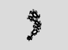 O=C(NC1CCC(c2ncon2)CC1)c1cnn2ccc(N3CCC[C@@H]3c3cc(F)ccc3F)cc12